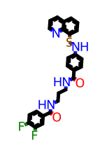 O=C(NCCCNC(=O)c1ccc(F)c(F)c1)c1ccc(NSc2cccc3cccnc23)cc1